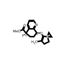 COC(=O)[C@]1(F)CC[C@H](OC2=C(C)CC[N+]23CC3)c2ncccc21